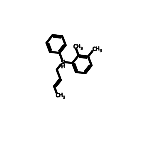 CC=CC[SiH](c1ccccc1)c1cccc(C)c1C